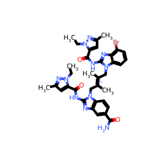 CCn1nc(C)cc1C(=O)Nc1nc2cc(C(N)=O)ccc2n1C/C(C)=C(\C)Cn1c(NC(=O)c2cc(C)nn2CC)nc2c(Br)cccc21